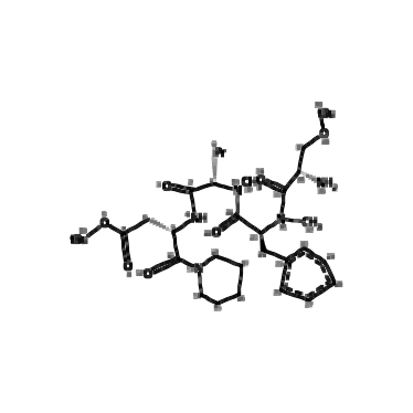 CC(C)[C@@H](C(=O)N[C@@H](CC(=O)OC(C)(C)C)C(=O)N1CCCCC1)N(C)C(=O)[C@H](Cc1ccccc1)N(C)C(=O)[C@@H](N)COC(C)(C)C